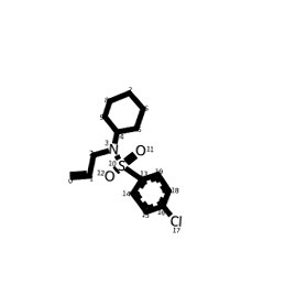 C=CCN(C1CCCCC1)S(=O)(=O)c1ccc(Cl)cc1